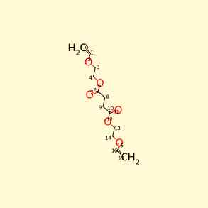 C=COCCOC(=O)CCC(=O)OCCOC=C